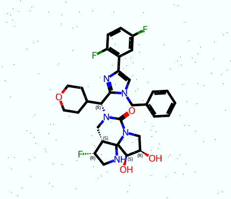 O=C(N1C[C@@H](O)[C@@H](O)C1)N(C[C@@H]1CNC[C@@H]1F)[C@@H](c1nc(-c2cc(F)ccc2F)cn1Cc1ccccc1)C1CCOCC1